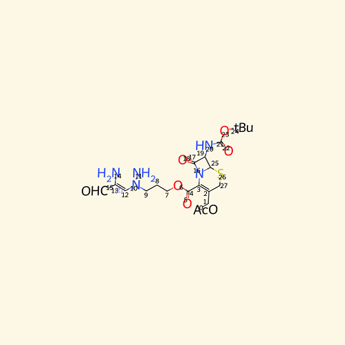 CC(=O)OCC1=C(C(=O)OCCCN(N)/C=C(\N)C=O)N2C(=O)C(NC(=O)OC(C)(C)C)C2SC1